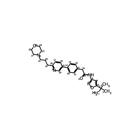 CC(C)(C)c1cc(NC(=O)Cc2ccc(-c3ccc(CCCN4CCOCC4)nc3)cc2)no1